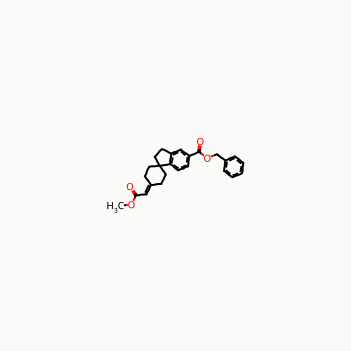 COC(=O)C=C1CCC2(CC1)CCc1cc(C(=O)OCc3ccccc3)ccc12